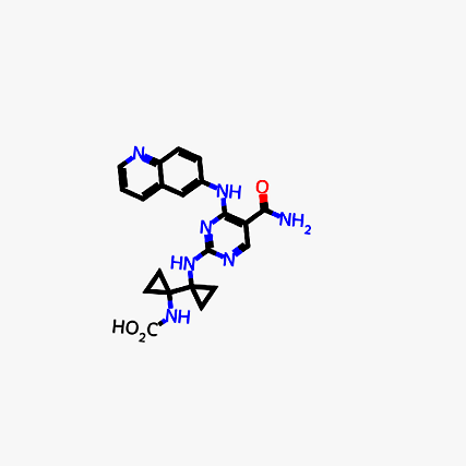 NC(=O)c1cnc(NC2(C3(NC(=O)O)CC3)CC2)nc1Nc1ccc2ncccc2c1